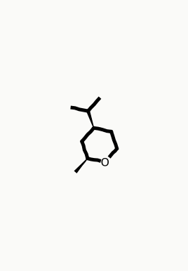 CC(C)[C@H]1CCO[C@@H](C)C1